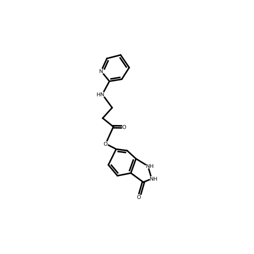 O=C(CCNc1ccccn1)Oc1ccc2c(=O)[nH][nH]c2c1